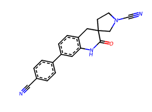 N#Cc1ccc(-c2ccc3c(c2)NC(=O)C2(CCN(C#N)C2)C3)cc1